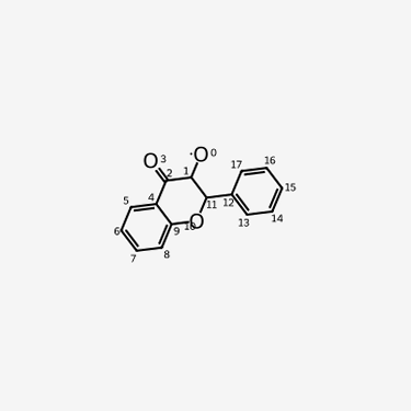 [O]C1C(=O)c2ccccc2OC1c1ccccc1